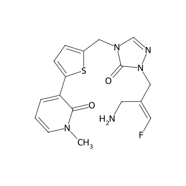 Cn1cccc(-c2ccc(Cn3cnn(C/C(=C/F)CN)c3=O)s2)c1=O